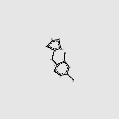 Cc1ccc(Cc2cccs2)c(C)c1